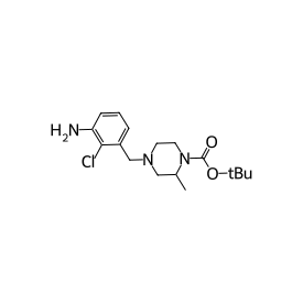 CC1CN(Cc2cccc(N)c2Cl)CCN1C(=O)OC(C)(C)C